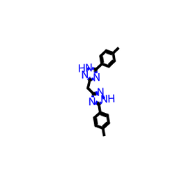 Cc1ccc(-c2nc(Cc3n[nH]c(-c4ccc(C)cc4)n3)n[nH]2)cc1